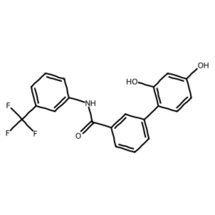 O=C(Nc1cccc(C(F)(F)F)c1)c1cccc(-c2ccc(O)cc2O)c1